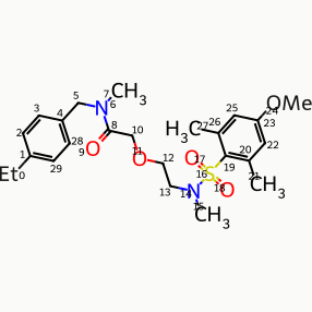 CCc1ccc(CN(C)C(=O)COCCN(C)S(=O)(=O)c2c(C)cc(OC)cc2C)cc1